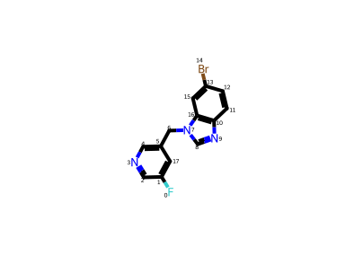 Fc1cncc(Cn2cnc3ccc(Br)cc32)c1